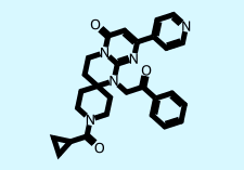 O=C(CN1c2nc(-c3ccncc3)cc(=O)n2CCC12CCN(C(=O)C1CC1)CC2)c1ccccc1